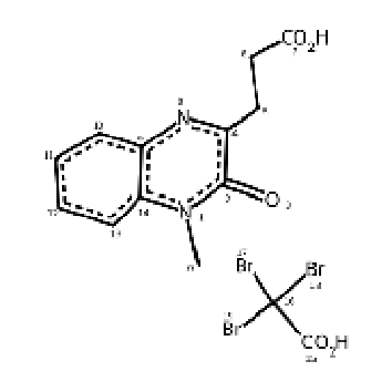 Cn1c(=O)c(CCC(=O)O)nc2ccccc21.O=C(O)C(Br)(Br)Br